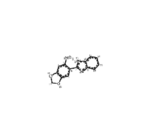 O=[N+]([O-])c1cc2c(cc1-c1nc3ccccc3[nH]1)OCO2